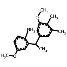 COc1ccc(N)c(C(C)c2cc(C)c(C)c(OC)c2)c1